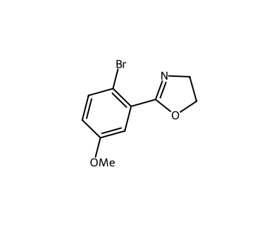 COc1ccc(Br)c(C2=NCCO2)c1